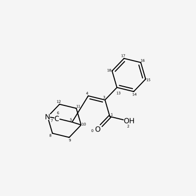 O=C(O)C(=CC1CN2CCC1CC2)c1ccccc1